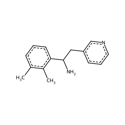 Cc1cccc(C(N)Cc2cccnc2)c1C